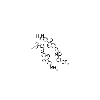 C=CCOC(=O)c1cccc(COc2ccc3c(=O)c(-c4ccc(N)cc4)coc3c2)c1.Nc1ccc(-c2coc3cc(OCc4noc(-c5cccc(C(F)(F)F)c5)n4)ccc3c2=O)cc1